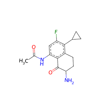 CC(=O)Nc1cc(F)c(C2CC2)c2c1C(=O)C(N)CC2